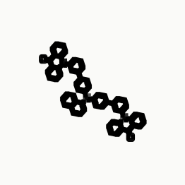 O=c1c2ccccc2n(-c2cccc(-c3ccc(N(c4ccc(-c5cccc(-n6c7ccccc7c(=O)c7ccccc76)c5)cc4)c4cccc5ccccc45)cc3)c2)c2ccccc12